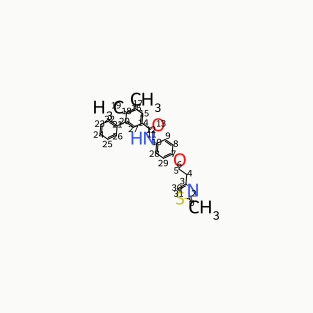 Cc1nc(CCOc2ccc(NC(=O)c3cc(C)c(C)c(-c4ccccc4)c3)cc2)cs1